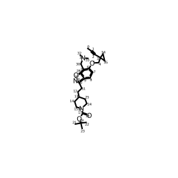 CC#CC1(COc2ccc3c(CCC4CCN(C(=O)OC(C)(C)C)CC4)noc3c2CN(C)C)CC1